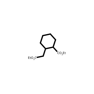 CCOC(=O)CC1CCCCC1C(=O)OCC